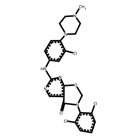 CN1CCN(c2ccc(Nc3ncc4c(n3)OCN(c3c(Cl)cccc3Cl)C4=O)cc2Cl)CC1